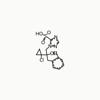 O=S(=O)(O)c1ncnn1CC(O)(Cc1ccccc1Cl)C1(Cl)CC1